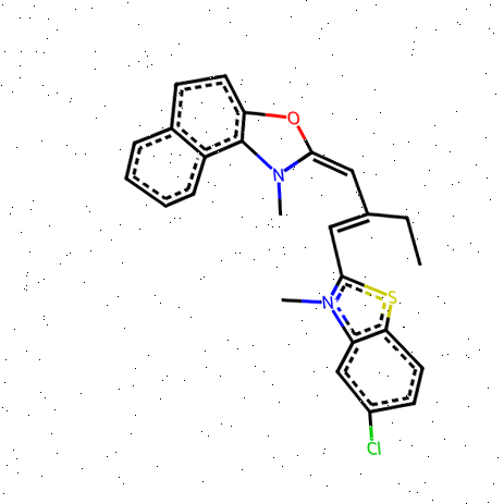 CCC(=Cc1sc2ccc(Cl)cc2[n+]1C)C=C1Oc2ccc3ccccc3c2N1C